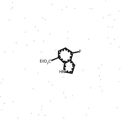 CCOC(=O)c1ccc(F)c2cc[nH]c12